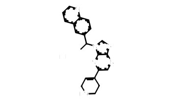 CC(c1ccc2ncccc2c1)n1cnc2ncc(C3=CCNCC3)nc21.Cl